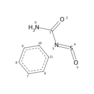 NC(=O)N=S=O.c1ccccc1